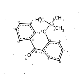 C[Si](C)(C)Oc1ccccc1C(=O)c1ccccc1